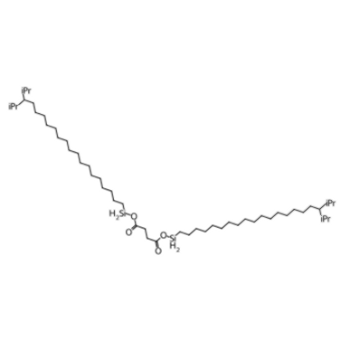 CC(C)C(CCCCCCCCCCCCCCCCC[SiH2]OC(=O)CCC(=O)O[SiH2]CCCCCCCCCCCCCCCCCC(C(C)C)C(C)C)C(C)C